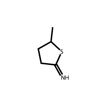 CC1CCC(=N)S1